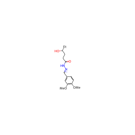 CCC(O)CCC(=O)N/N=C/c1ccc(OC)c(OC)c1